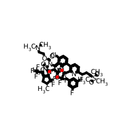 C[C@@H]1Cc2c(C(F)(F)F)nn(CC(=O)N[C@@H](Cc3cc(F)cc(F)c3)c3nc(CCC(C)(C)S(C)(=O)=O)ccc3-c3ccc(Cl)c4c(N(C(=O)OCCN(C)C)S(C)(=O)=O)nn(CC(F)(F)F)c34)c2C1(F)F